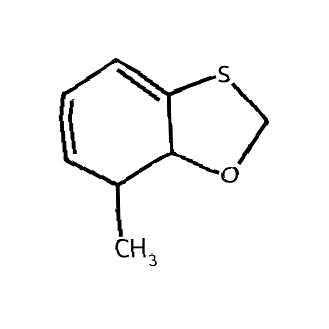 CC1C=CC=C2SCOC21